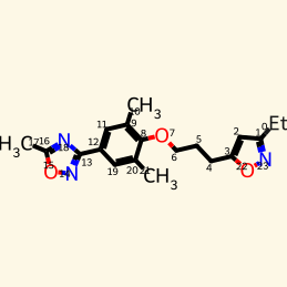 CCc1cc(CCCOc2c(C)cc(-c3noc(C)n3)cc2C)on1